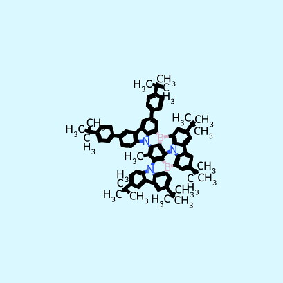 Cc1c2c3c4c5c1-n1c6ccc(C(C)(C)C)cc6c6cc(C(C)(C)C)cc(c61)B5c1cc(C(C)(C)C)cc5c6cc(C(C)(C)C)cc(c6n-4c15)B3c1cc(-c3ccc(C(C)(C)C)cc3)cc3c4cc(-c5ccc(C(C)(C)C)cc5)ccc4n-2c13